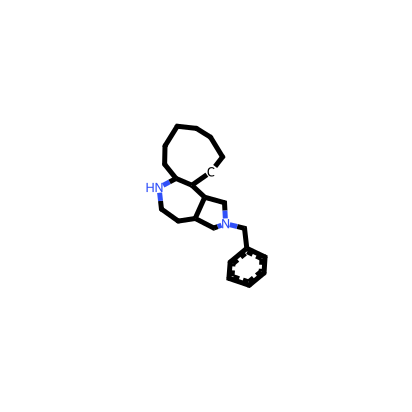 c1ccc(CN2CC3CCNC4CCCCCCCC4C3C2)cc1